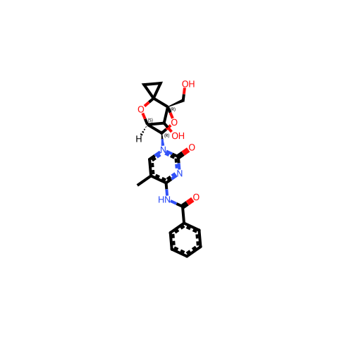 Cc1cn([C@@H]2O[C@]3(CO)C(O)[C@@H]2OC32CC2)c(=O)nc1NC(=O)c1ccccc1